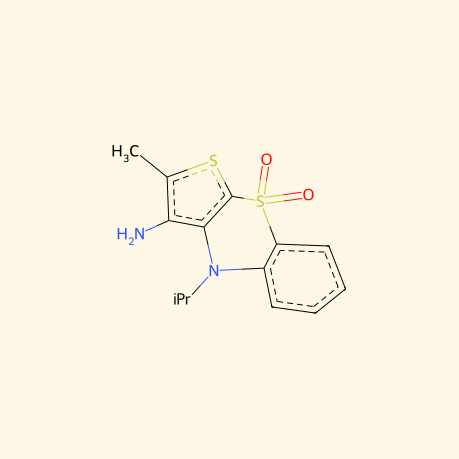 Cc1sc2c(c1N)N(C(C)C)c1ccccc1S2(=O)=O